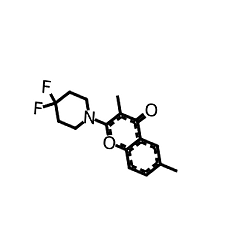 Cc1ccc2oc(N3CCC(F)(F)CC3)c(C)c(=O)c2c1